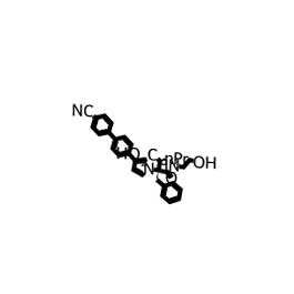 CCC[C@H](C(=O)O)[C@@](Cc1ccccc1)(C(=O)NCCO)n1ccc(-c2ccc(-c3ccc(C#N)cc3)cc2)c1